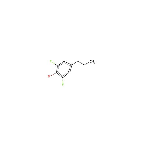 CCCc1cc(F)c(Br)c(F)c1